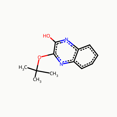 CC(C)(C)Oc1nc2ccccc2nc1O